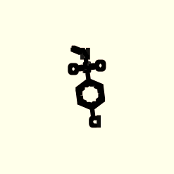 C=NS(=O)(=O)c1ccc(Cl)cc1